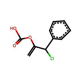 C=C(OC(=O)O)C(Cl)c1ccccc1